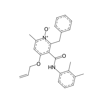 C=CCOc1cc(C)[n+]([O-])c(Cc2ccccc2)c1C(=O)Nc1cccc(C)c1C